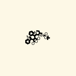 Cn1cc(C2=C(c3c4n(c5ccccc35)CCC(CNC(=O)OC(C)(C)C)C4)C(=O)OC2=O)c2ccccc21